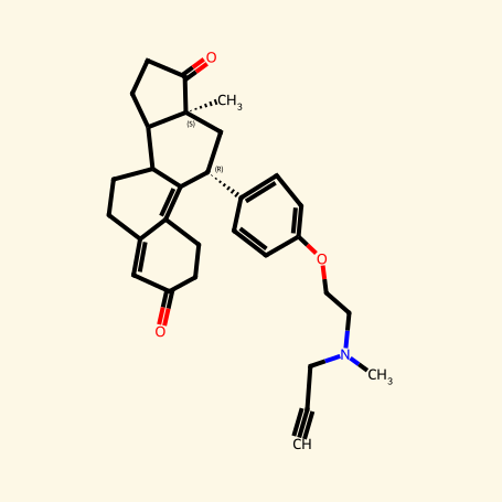 C#CCN(C)CCOc1ccc([C@H]2C[C@]3(C)C(=O)CCC3C3CCC4=CC(=O)CCC4=C32)cc1